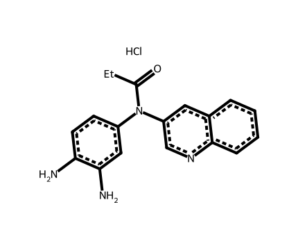 CCC(=O)N(c1ccc(N)c(N)c1)c1cnc2ccccc2c1.Cl